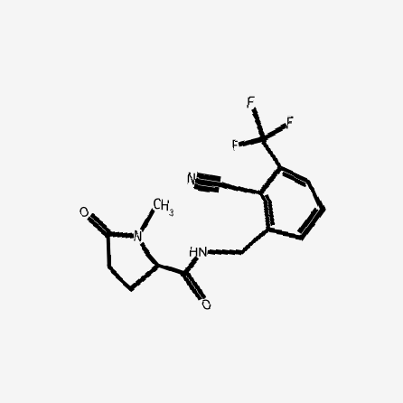 CN1C(=O)CCC1C(=O)NCc1cccc(C(F)(F)F)c1C#N